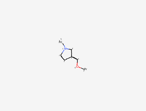 CC(=O)N1CCC(COC(C)C)C1